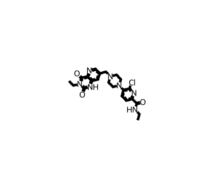 CCNC(=O)c1ccc(N2CCN(Cc3cnc4c(=O)n(CC)c(=O)[nH]c4c3)CC2)c(Cl)n1